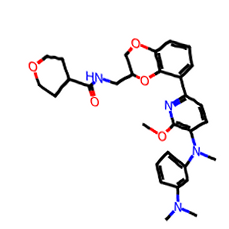 COc1nc(-c2cccc3c2OC(CNC(=O)C2CCOCC2)CO3)ccc1N(C)c1cccc(N(C)C)c1